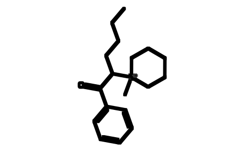 CCCCC(C(=O)c1ccccc1)[N+]1(C)CCCCC1